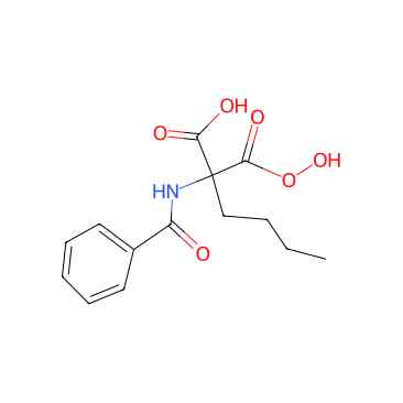 CCCCC(NC(=O)c1ccccc1)(C(=O)O)C(=O)OO